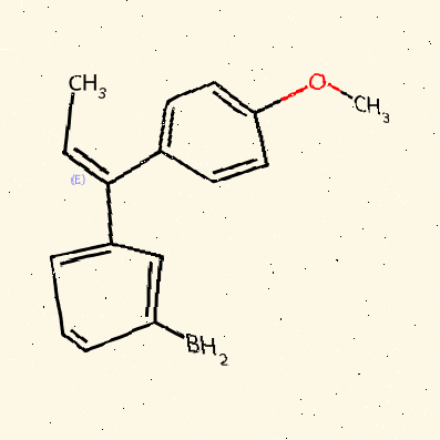 Bc1cccc(/C(=C/C)c2ccc(OC)cc2)c1